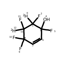 [2H]C1(F)C(O)(F)C=CC(F)(F)C1([2H])F